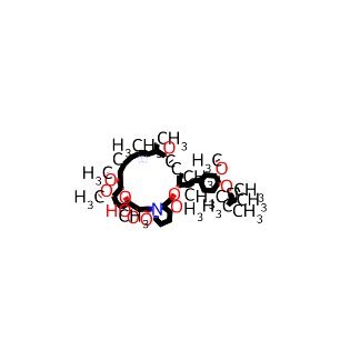 CCC1/C=C(\C)CC(C)CC(OC)C2OC(O)(C(=O)C(=O)N3CCCCC3C(=O)OC(C(C)=CC3CCC(O[Si](C)(C)C(C)(C)C)C(OC)C3)C(C)CCC1=O)C(C)CC2OC